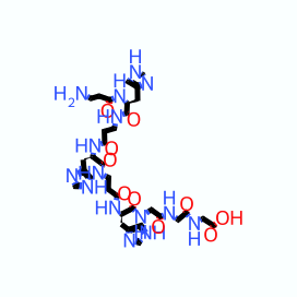 NCCC(=O)N[C@@H](Cc1c[nH]cn1)C(=O)NCCC(=O)N[C@@H](Cc1c[nH]cn1)C(=O)NCCC(=O)N[C@@H](Cc1c[nH]cn1)C(=O)NCC(=O)NCC(=O)NCC(=O)O